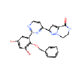 O=C1NCCn2nc(-c3ccnc(-c4cc(Br)cc(Br)c4OCc4ccccc4)n3)cc21